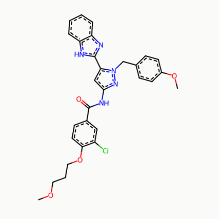 COCCCOc1ccc(C(=O)Nc2cc(-c3nc4ccccc4[nH]3)n(Cc3ccc(OC)cc3)n2)cc1Cl